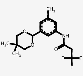 Cc1cc(NC(=O)CC(F)(F)F)cc(C2OCC(C)(C)CO2)c1